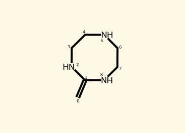 C=C1NCCNCCN1